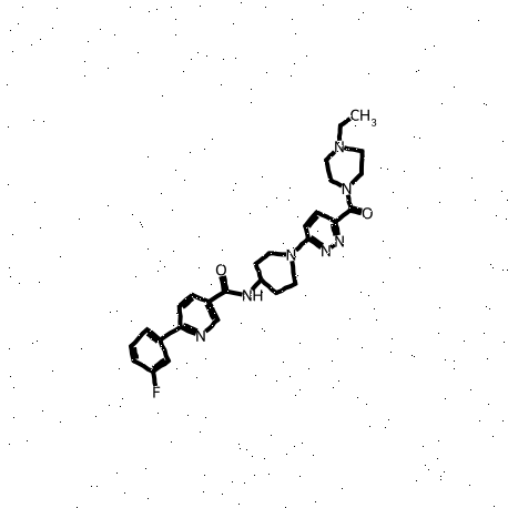 CCN1CCN(C(=O)c2ccc(N3CCC(NC(=O)c4ccc(-c5cccc(F)c5)nc4)CC3)nn2)CC1